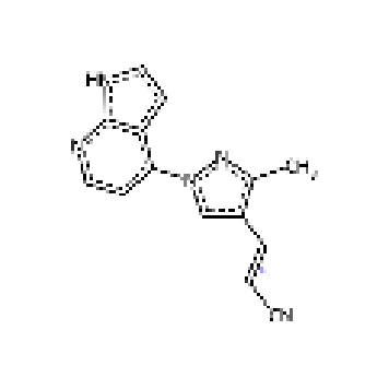 Cc1nn(-c2ccnc3[nH]ccc23)cc1/C=C/C#N